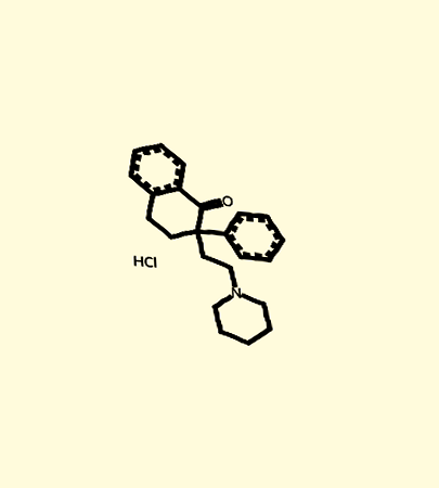 Cl.O=C1c2ccccc2CCC1(CCN1CCCCC1)c1ccccc1